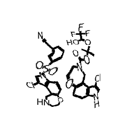 CC(C)(C)OC(=O)N1CCOc2ccc3[nH]cc(Cl)c3c2C1.N#Cc1cccc(S(=O)(=O)n2cc(Cl)c3c4c(ccc32)OCCNC4)c1.O=C(O)C(F)(F)F